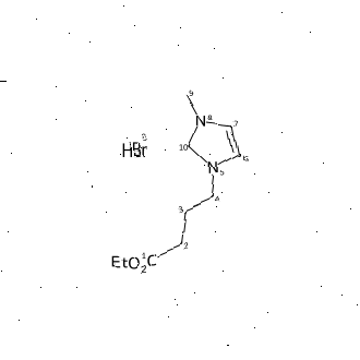 Br.CCOC(=O)CCCN1C=CN(C)C1